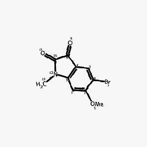 COc1cc2c(cc1Br)C(=O)C(=O)N2C